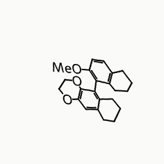 COc1ccc2c(c1-c1c3c(cc4c1OCCO4)CCCC3)CCCC2